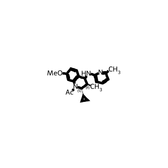 COc1ccc2c(c1)N(C(C)=O)[C@@H](C1CC1)[C@H](C)C2Nc1cccc(C)n1